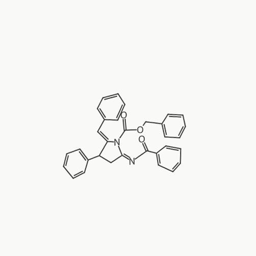 O=C(/N=C1/CC(c2ccccc2)/C(=C/c2ccccc2)N1C(=O)OCc1ccccc1)c1ccccc1